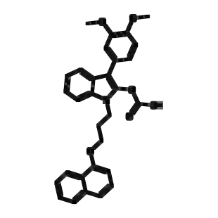 COc1ccc(-c2c(OC(=O)O)n(CCCOc3cccc4ccccc34)c3ccccc23)cc1OC